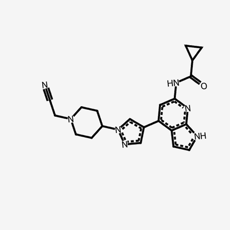 N#CCN1CCC(n2cc(-c3cc(NC(=O)C4CC4)nc4[nH]ccc34)cn2)CC1